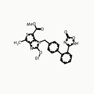 CCOc1nc2c(C)sc(C(=O)OC)c2n1Cc1ccc(-c2ccccc2-c2nc(=O)o[nH]2)cc1